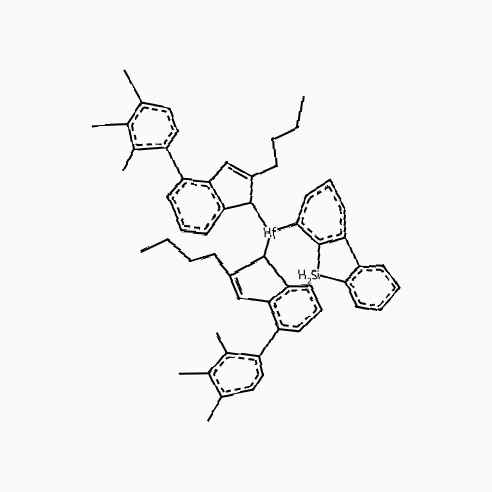 CCCCC1=Cc2c(-c3ccc(C)c(C)c3C)cccc2[CH]1[Hf]([c]1cccc2c1[SiH2]c1ccccc1-2)[CH]1C(CCCC)=Cc2c(-c3ccc(C)c(C)c3C)cccc21